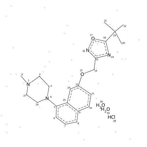 CN1CCN(c2cccc3ccc(OCc4noc(C(C)(C)C)n4)cc23)CC1.Cl.O.O